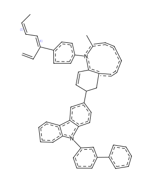 C=C/C(=C\C=C/C)c1ccc(-n2c(C)cccccc3c2C=CC(c2ccc4c(c2)c2ccccc2n4-c2cccc(-c4ccccc4)c2)C3)cc1